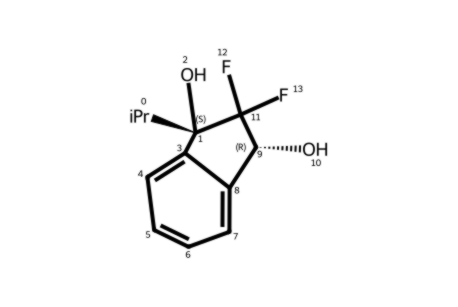 CC(C)[C@]1(O)c2ccccc2[C@@H](O)C1(F)F